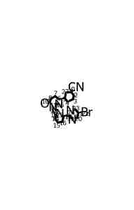 N#Cc1cccc(-c2ccc(=O)n(Cc3cccc(-c4ncc(Br)cn4)n3)n2)c1